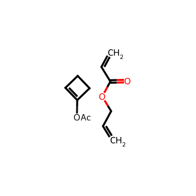 C=CCOC(=O)C=C.CC(=O)OC1=CCC1